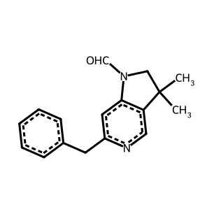 CC1(C)CN(C=O)c2cc(Cc3ccccc3)ncc21